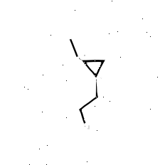 NCC[C@@H]1C[C@H]1CO